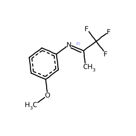 COc1cccc(/N=C(\C)C(F)(F)F)c1